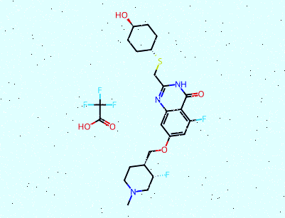 CN1CC[C@@H](COc2cc(F)c3c(=O)[nH]c(CS[C@H]4CC[C@H](O)CC4)nc3c2)[C@H](F)C1.O=C(O)C(F)(F)F